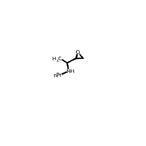 CCCNC(C)C1CO1